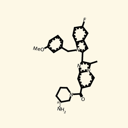 COc1cccc(Cn2c(-c3nc4cc(C(=O)N5CCC[C@@H](N)C5)ccn4c3C)cc3cc(F)ccc32)c1